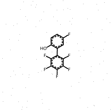 Oc1ccc(F)cc1-c1c(F)c(F)c(F)c(F)c1F